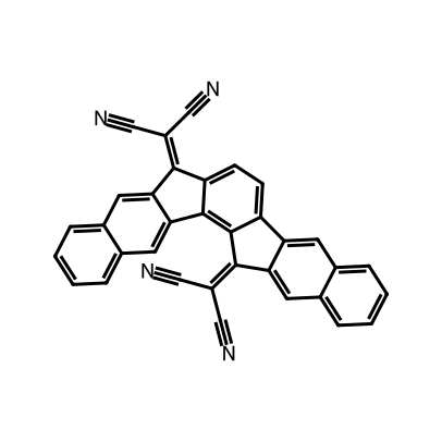 N#CC(C#N)=C1c2cc3ccccc3cc2-c2c1ccc1c2C(=C(C#N)C#N)c2cc3ccccc3cc2-1